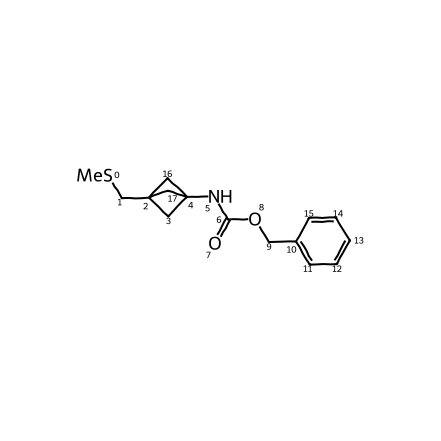 CSCC12CC(NC(=O)OCc3ccccc3)(C1)C2